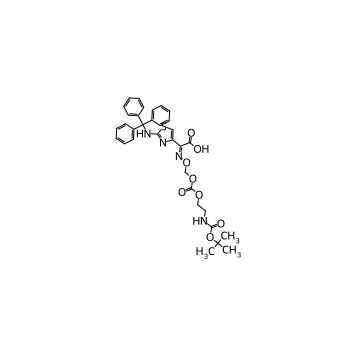 CC(C)(C)OC(=O)NCCOC(=O)OCON=C(C(=O)O)c1csc(NC(c2ccccc2)(c2ccccc2)c2ccccc2)n1